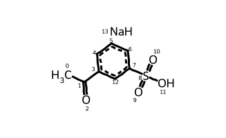 CC(=O)c1cccc(S(=O)(=O)O)c1.[NaH]